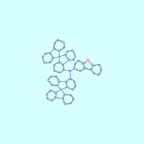 c1ccc2c(c1)-c1ccccc1C21c2ccccc2-c2c(N(c3ccc4oc5ccccc5c4c3)c3cccc4c3-c3ccccc3C43c4ccccc4-c4ccccc43)cccc21